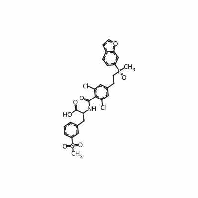 CP(=O)(CCc1cc(Cl)c(C(=O)N[C@@H](Cc2cccc(S(C)(=O)=O)c2)C(=O)O)c(Cl)c1)c1ccc2ccoc2c1